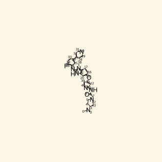 CN(C)C1CCN(CC(=O)Nc2cc(Oc3ccc4c(c3)nc(Nc3cc(-c5ccncc5)ccc3F)n4C)ccn2)CC1